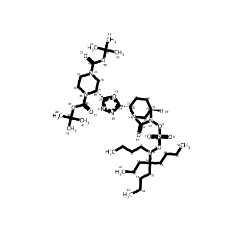 CCCCN(OS(=O)(=O)ON1C(=O)N2C[C@@H]1CC[C@H]2c1nnc([C@H]2CN(C(=O)OC(C)(C)C)CCN2C(=O)OC(C)(C)C)o1)C(CCC)(CCCC)CCCC